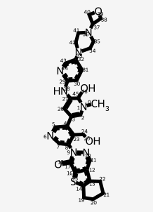 CN1C=C(c2cncc(-n3ncc4c5c(sc4c3=O)CCCC5)c2CO)C=C(Nc2ccc(N3CCN(C4COC4)CC3)cn2)C1O